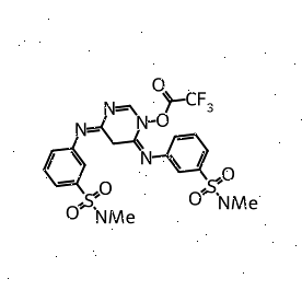 CNS(=O)(=O)c1cccc(N=C2CC(=Nc3cccc(S(=O)(=O)NC)c3)N(OC(=O)C(F)(F)F)C=N2)c1